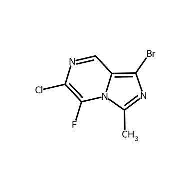 Cc1nc(Br)c2cnc(Cl)c(F)n12